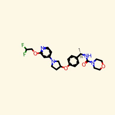 C[C@H](NC(=O)N1CCOCC1)c1ccc(OC2CCN(c3ccnc(OCC(F)F)c3)C2)cc1